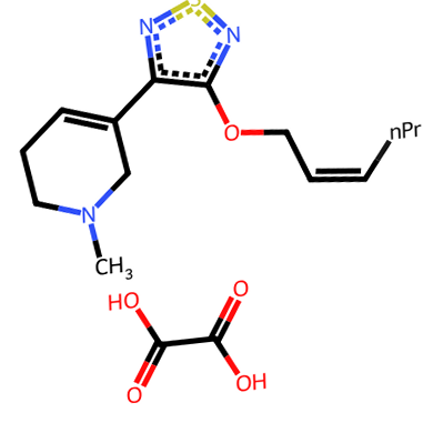 CCC/C=C\COc1nsnc1C1=CCCN(C)C1.O=C(O)C(=O)O